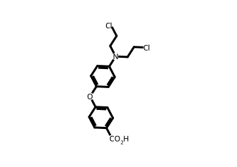 O=C(O)c1ccc(Oc2ccc(N(CCCl)CCCl)cc2)cc1